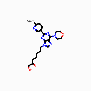 COc1ccc(-c2nc(N3CCOCC3)c3ncn(CCCCCC(=O)CO)c3n2)cn1